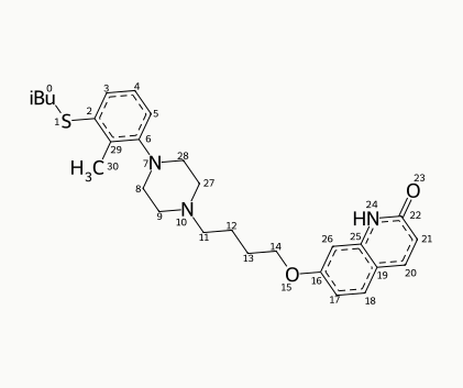 CCC(C)Sc1cccc(N2CCN(CCCCOc3ccc4ccc(=O)[nH]c4c3)CC2)c1C